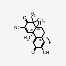 CC1(C)C(=O)C(C#N)=C[C@]2(C)C3=CC(=O)C(C#N)=C[C@]3(CF)CC[C@@H]12